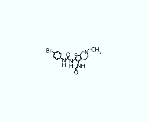 CCN1CCc2c(sc(NC(=O)Nc3ccc(Br)cc3)c2NC=O)C1